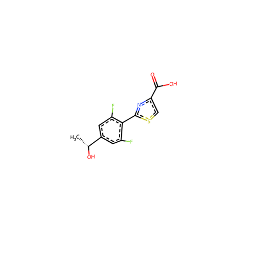 C[C@@H](O)c1cc(F)c(-c2nc(C(=O)O)cs2)c(F)c1